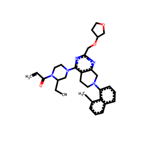 C=CC(=O)N1CCN(c2nc(COC3CCOC3)nc3c2CCN(c2cccc4cccc(C)c24)C3)CC1CC#N